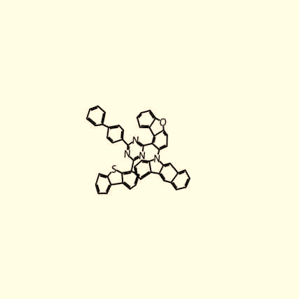 c1ccc(-c2ccc(-c3nc(-c4cccc5c4sc4ccccc45)nc(-c4c(-n5c6ccccc6c6cc7ccccc7cc65)ccc5oc6ccccc6c45)n3)cc2)cc1